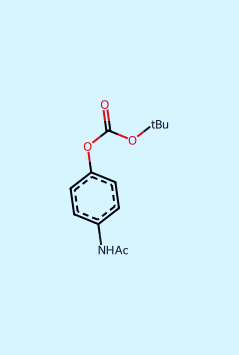 CC(=O)Nc1ccc(OC(=O)OC(C)(C)C)cc1